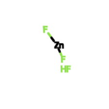 F.[F][Zn][F]